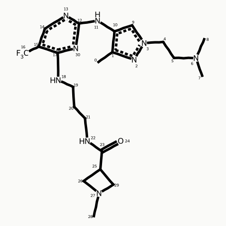 Cc1nn(CCN(C)C)cc1Nc1ncc(C(F)(F)F)c(NCCCNC(=O)C2CN(C)C2)n1